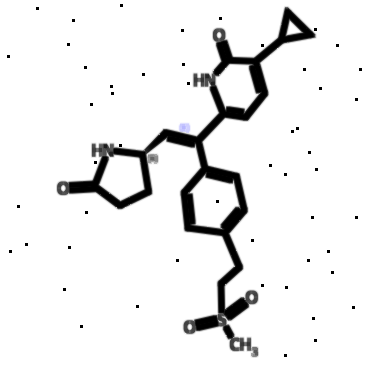 CS(=O)(=O)CCc1ccc(/C(=C\[C@H]2CCC(=O)N2)c2ccc(C3CC3)c(=O)[nH]2)cc1